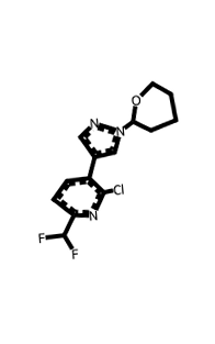 FC(F)c1ccc(-c2cnn(C3CCCCO3)c2)c(Cl)n1